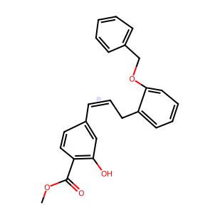 COC(=O)c1ccc(/C=C\Cc2ccccc2OCc2ccccc2)cc1O